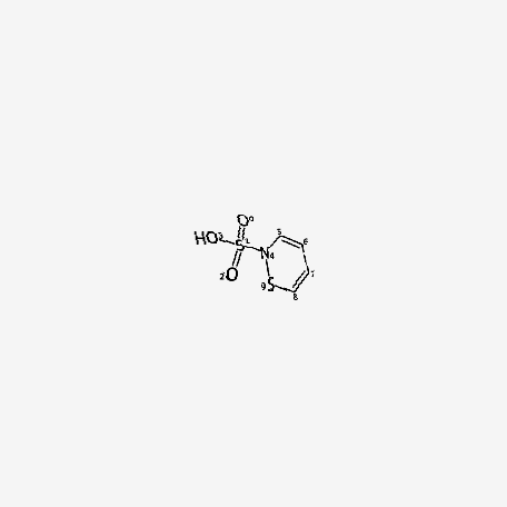 O=S(=O)(O)N1C=CC=CS1